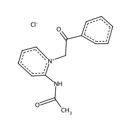 CC(=O)Nc1cccc[n+]1CC(=O)c1ccccc1.[Cl-]